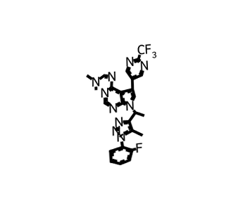 Cc1c(C(C)n2cc(-c3cnc(C(F)(F)F)nc3)c3c(/N=C\N(C)C)ncnc32)nnn1-c1ccccc1F